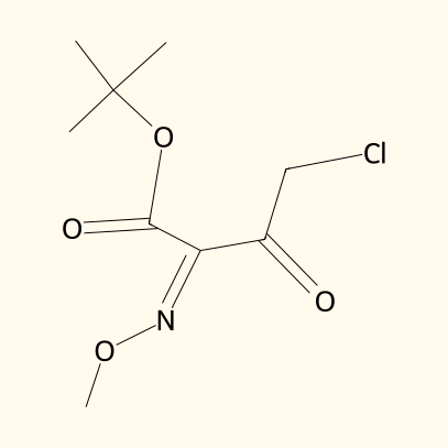 CON=C(C(=O)CCl)C(=O)OC(C)(C)C